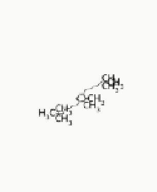 Cc1c(CCCCCC(C)(C)C)ccc(CCCCCC(C)(C)C)c1C